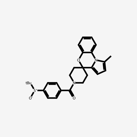 Cc1ccc2n1-c1ccccc1OC21CCN(C(=O)c2ccc([S+]([O-])C(C)(C)C)cc2)CC1